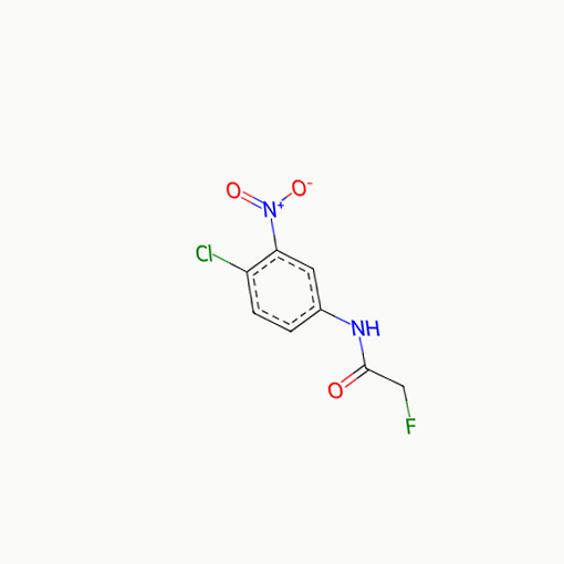 O=C(CF)Nc1ccc(Cl)c([N+](=O)[O-])c1